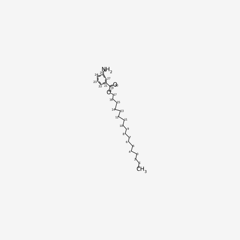 CCCCCCCCCCCCCCCCCCOC(=O)c1cccc(N)c1